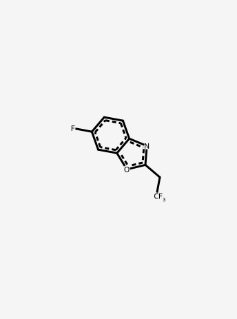 Fc1ccc2nc(CC(F)(F)F)oc2c1